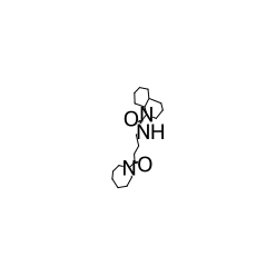 O=C(CCCNC(=O)N1CCCC2CCCCC21)N1CCCCCC1